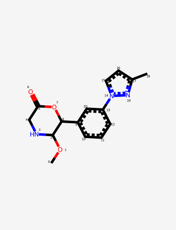 COC1NCC(=O)OC1c1cccc(-n2ccc(C)n2)c1